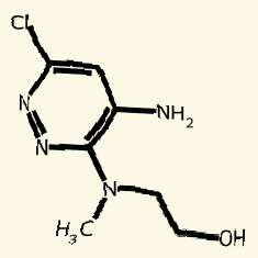 CN(CCO)c1nnc(Cl)cc1N